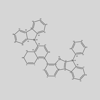 C1=Cc2c(-c3cccc4c3oc3c4c4ccccc4n3-c3ccccc3)ccc(-n3c4ccccc4c4ccccc43)c2CC1